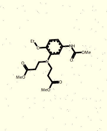 CCOc1ccc(NC(=O)OC)cc1N(CCC(=O)OC)CCC(=O)OC